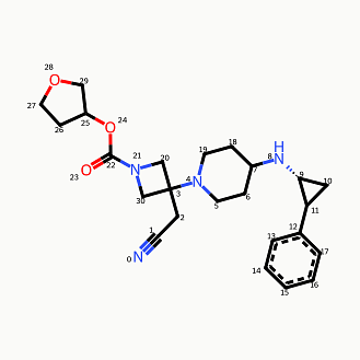 N#CCC1(N2CCC(N[C@@H]3CC3c3ccccc3)CC2)CN(C(=O)OC2CCOC2)C1